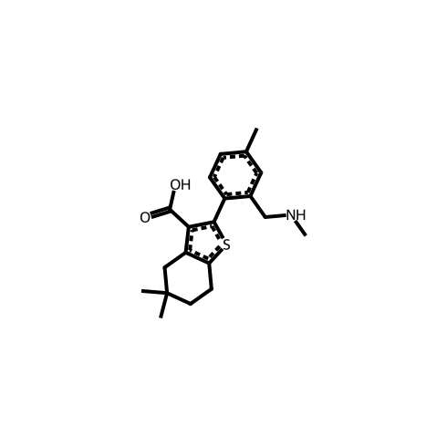 CNCc1cc(C)ccc1-c1sc2c(c1C(=O)O)CC(C)(C)CC2